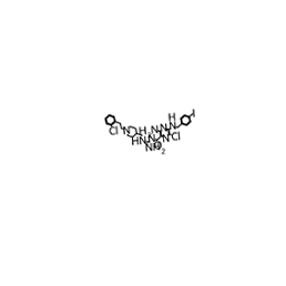 N/C(=N\C(=O)c1nc(Cl)c(NCc2ccc(I)cc2)nc1N)NCC1CCN(CCc2ccccc2Cl)CC1